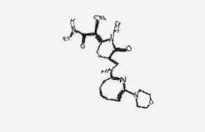 CCNC(=O)C(C#N)=c1sc(=CNc2cccc(N3CCOCC3)n2)c(=O)n1CC